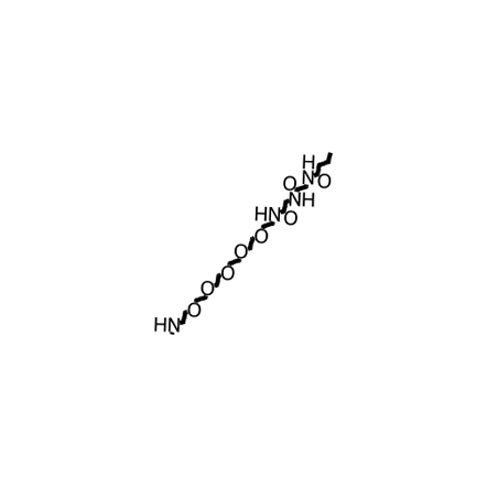 CCCC(=O)NCC(=O)NCC(=O)NCCOCCOCCOCCOCCOCCNC